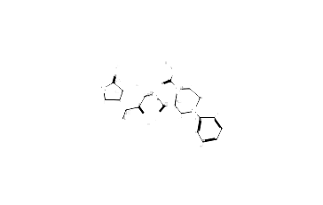 CC(C)(C)OC(=O)N1CCN(c2ccccc2)C[C@H]1C(=O)N[C@@H](C[C@@H]1CCNC1=O)C(=O)CCl